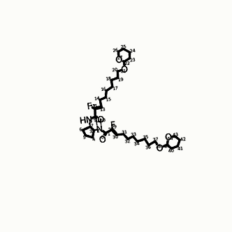 O=C(N[C@H]1CCC[C@H]1NC(=O)/C(F)=C/CCCCCCCOC1CCCCO1)/C(F)=C/CCCCCCCOC1CCCCO1